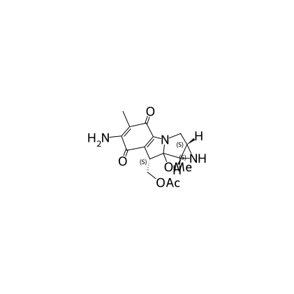 COC12[C@H](COC(C)=O)C3=C(C(=O)C(C)=C(N)C3=O)N1C[C@@H]1N[C@@H]12